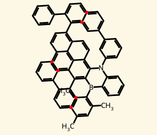 Cc1cc(C)c(B2c3ccccc3N(c3cccc(-c4ccccc4)c3)c3c2c(-c2ccccc2-c2ccccc2)c2ccc4ccc(-c5ccccc5-c5ccccc5)c5ccc3c2c45)c(C)c1